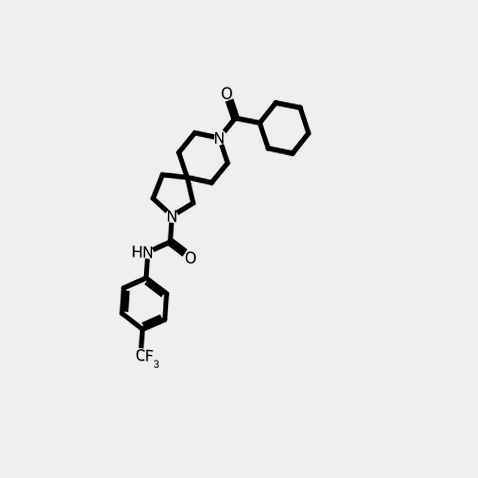 O=C(Nc1ccc(C(F)(F)F)cc1)N1CCC2(CCN(C(=O)C3CCCCC3)CC2)C1